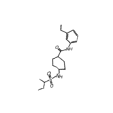 CCc1cccc(NC(=O)C2CCC(NS(=O)(=O)C(C)CC)CC2)c1